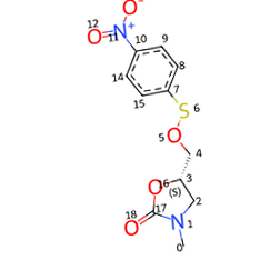 CN1C[C@@H](COSc2ccc([N+](=O)[O-])cc2)OC1=O